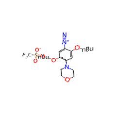 CCCCOc1cc(N2CCOCC2)c(OCCCC)cc1[N+]#N.O=S(=O)([O-])C(F)(F)F